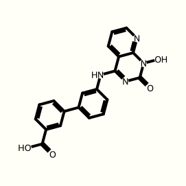 O=C(O)c1cccc(-c2cccc(Nc3nc(=O)n(O)c4ncccc34)c2)c1